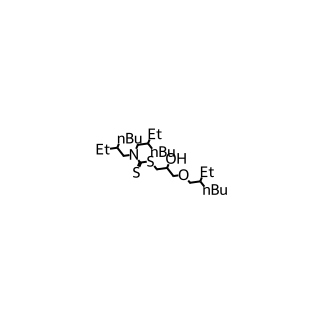 CCCCC(CC)COCC(O)CSC(=S)N(CC(CC)CCCC)CC(CC)CCCC